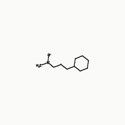 C[S+]([O-])C[CH]CC1CCCCC1